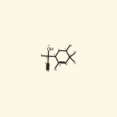 C#CC(C)(O)C1CC(C)C(C)(C)C=C1C